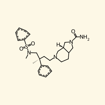 CN(C[C@@](C)(CCN1CCC2CN(C(N)=O)C[C@H]2C1)c1ccccc1)S(=O)(=O)c1ccccc1